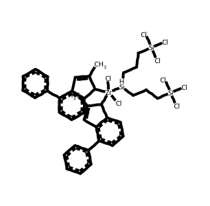 CC1=Cc2c(-c3ccccc3)cccc2[CH]1[Zr]([Cl])([Cl])([CH]1C(C)=Cc2c(-c3ccccc3)cccc21)[SiH](CCC[Si](Cl)(Cl)Cl)CCC[Si](Cl)(Cl)Cl